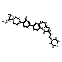 Cc1cc(-c2ccc3c(c2)OCc2nc(CCN4CCOCC4)cn2-3)ccc1N1CCN(C(C)C)CC1